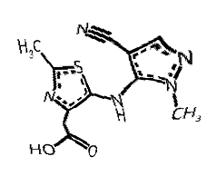 Cc1nc(C(=O)O)c(Nc2c(C#N)cnn2C)s1